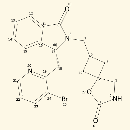 O=C1NCC2(CC(CN3C(=O)c4ccccc4[C@H]3Cc3ncccc3Br)C2)O1